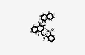 O=[N+]([O-])c1ccccc1S(=O)(=O)Nc1cc(Sc2cccc3cccnc23)c(O)c2ccccc12